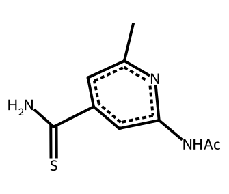 CC(=O)Nc1cc(C(N)=S)cc(C)n1